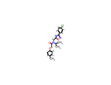 Cc1ccc(OCC(=O)N(Cc2nc(-c3ccc(Cl)cc3)no2)C(C)C)cc1